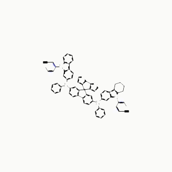 C#C/C=C\C(=C/C)n1c2c(c3ccc(N(c4ccccc4)c4ccc5c(c4)C4(c6cc(N(c7ccccc7)c7ccc8c9ccccc9n(C(/C=C\C)=C/C#C)c8c7)ccc6-5)c5ccsc5-c5sccc54)cc31)CCCC2